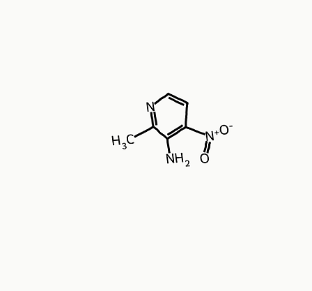 Cc1nccc([N+](=O)[O-])c1N